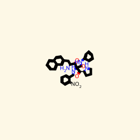 N[C@@H](Cc1ccc2ccccc2c1)C(=O)C(NCc1ccccc1[N+](=O)[O-])(C(=O)Nc1ccccc1)C(=O)[C@@H]1CCCN1